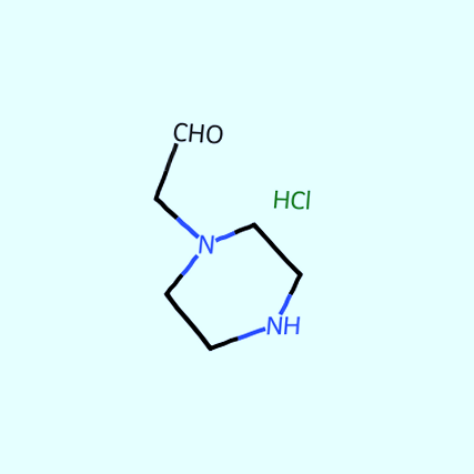 Cl.O=CCN1CCNCC1